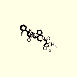 C[C@H](CC(F)(F)F)C(=O)N1CCC(O)(Cn2cnc(-c3ccccc3F)cc2=O)C2(CCCC2)C1